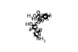 CC(NP(=O)(OC[C@H]1S[C@@H](n2ccc(N)nc2=O)[C@@H](F)[C@@H]1O)Oc1ccc(F)cc1)C(=O)O